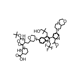 CO[C@@H](C)c1ncc(N2CCN3CCOCC3C2)cc1-c1c(CC(C)(C)CO)c2cc(N3CCOC(CC(NC(=O)OC(C)(C)C)C(=O)N4CCCC(C(=O)O)N4)C3)ccc2n1CC(F)(F)F